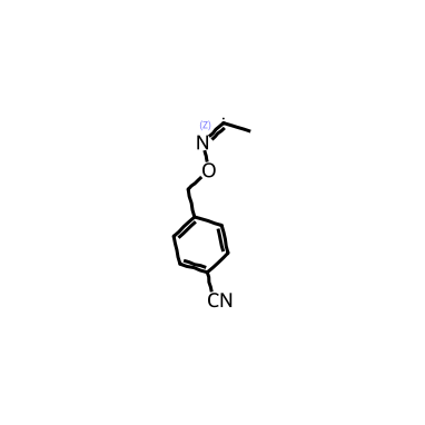 C/[C]=N\OCc1ccc(C#N)cc1